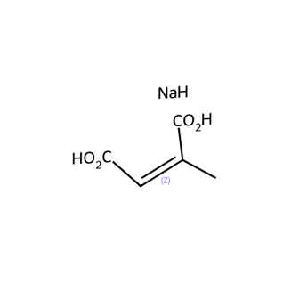 C/C(=C/C(=O)O)C(=O)O.[NaH]